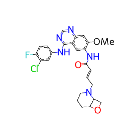 COc1cc2ncnc(Nc3ccc(F)c(Cl)c3)c2cc1NC(=O)/C=C/CN1CCCC2OCC21